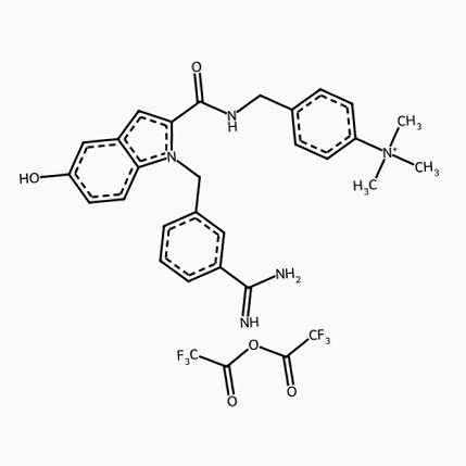 C[N+](C)(C)c1ccc(CNC(=O)c2cc3cc(O)ccc3n2Cc2cccc(C(=N)N)c2)cc1.O=C(OC(=O)C(F)(F)F)C(F)(F)F